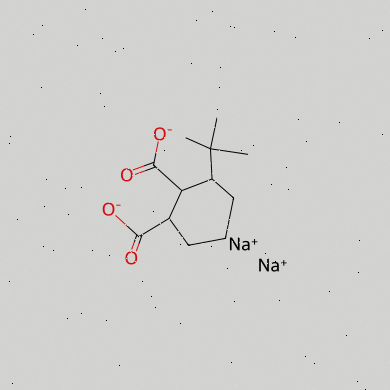 CC(C)(C)C1CCCC(C(=O)[O-])C1C(=O)[O-].[Na+].[Na+]